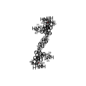 CC[C@H](OC(=O)OC1CC(C)(C)NC(C)(C)C1)C(OC(=O)OC1CC(C)(C)NC(C)(C)C1)(OC(=O)OC1CC(C)(C)NC(C)(C)C1)C(=O)OCC(C)(C)C1OCC2(CO1)COC(C(C)(C)COC(=O)C(OC(=O)OC1CC(C)(C)NC(C)(C)C1)(OC(=O)OC1CC(C)(C)NC(C)(C)C1)[C@H](CC)OC(=O)OC1CC(C)(C)NC(C)(C)C1)OC2